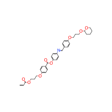 C=CC(=O)OCCCOc1ccc(C(=O)Oc2ccc(/N=C/c3ccc(OCCCOC4CCCCO4)cc3)cc2)cc1